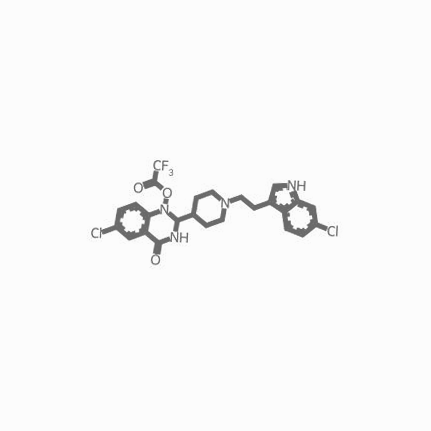 O=C1NC(C2CCN(CCc3c[nH]c4cc(Cl)ccc34)CC2)N(OC(=O)C(F)(F)F)c2ccc(Cl)cc21